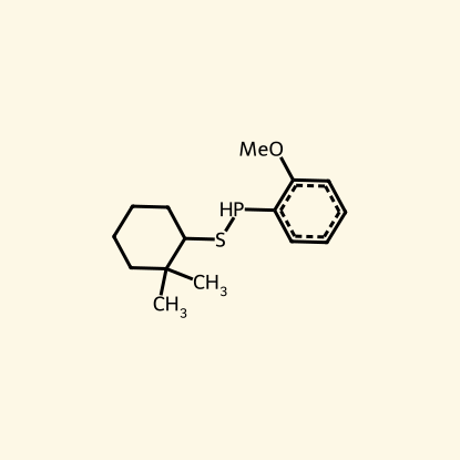 COc1ccccc1PSC1CCCCC1(C)C